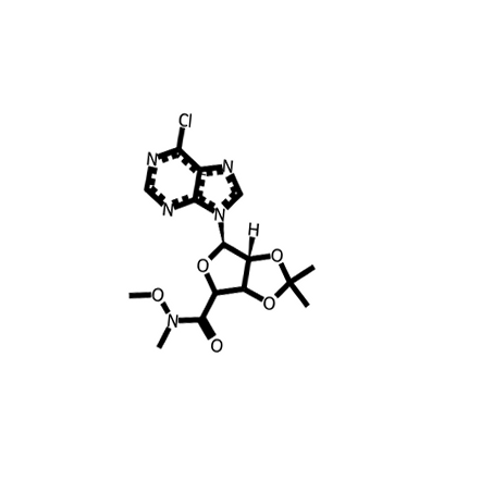 CON(C)C(=O)C1O[C@@H](n2cnc3c(Cl)ncnc32)[C@@H]2OC(C)(C)OC12